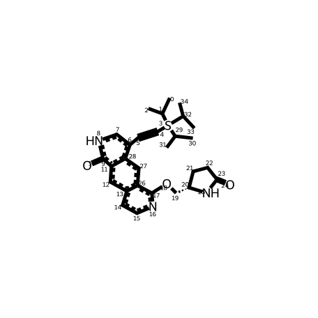 CC(C)S(C#Cc1c[nH]c(=O)c2cc3ccnc(OC[C@@H]4CCC(=O)N4)c3cc12)(C(C)C)C(C)C